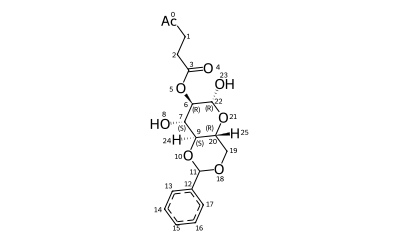 CC(=O)CCC(=O)O[C@@H]1[C@@H](O)[C@@H]2OC(c3ccccc3)OC[C@H]2O[C@H]1O